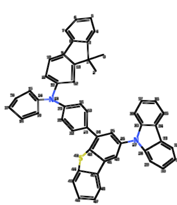 CC1(C)c2ccccc2-c2ccc(N(c3ccccc3)c3ccc(-c4cc(-n5c6ccccc6c6ccccc65)cc5c4sc4ccccc45)cc3)cc21